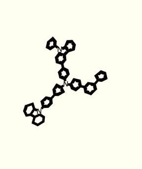 C1=CCC2C(C1)C1CCCCC1N2c1ccc(-c2ccc(N(c3ccc(-c4cccc(-c5ccccc5)c4)cc3)c3ccc(-c4ccc5c(c4)c4ccccc4n5-c4ccccc4)cc3)cc2)cc1